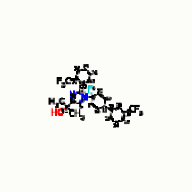 CC(C)(O)c1cn(C2(F)C=CC(c3cccc(C(F)(F)F)c3)C=C2)c(-c2ccccc2C(F)(F)F)n1